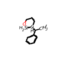 CC(c1ccccc1)[SiH]1CCCO[SiH2]1